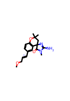 COC/C=C/c1ccc2c(c1)C1(CC(C)(C)O2)N=C(N)N(C)C1=O